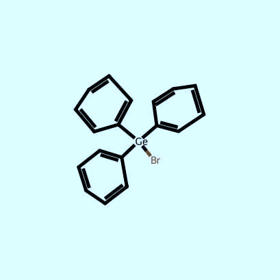 [Br][Ge]([c]1ccccc1)([c]1ccccc1)[c]1ccccc1